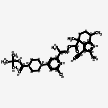 CC1CCC(C)(C(=O)O/N=C(\N)c2cc(N3CCN(C(=O)OC(C)(C)C)CC3)cc(Cl)n2)c2c1sc(N)c2C#N